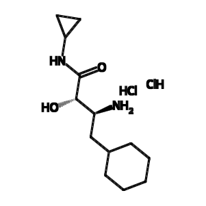 Cl.Cl.N[C@@H](CC1CCCCC1)[C@H](O)C(=O)NC1CC1